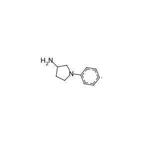 NC1CCN(c2cc[c]cc2)C1